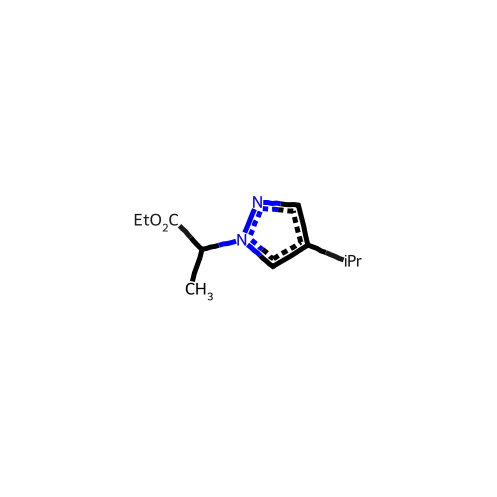 CCOC(=O)C(C)n1cc(C(C)C)cn1